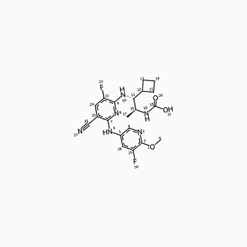 COc1ncc(Nc2nc(N[C@H](C3CCC3)[C@H](C)NC(=O)O)c(F)cc2C#N)cc1F